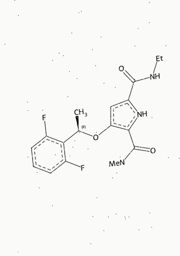 CCNC(=O)c1cc(O[C@H](C)c2c(F)cccc2F)c(C(=O)NC)[nH]1